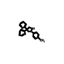 Cc1ccc(N2CC(c3ccccn3)(c3ccccn3)CN2)cc1